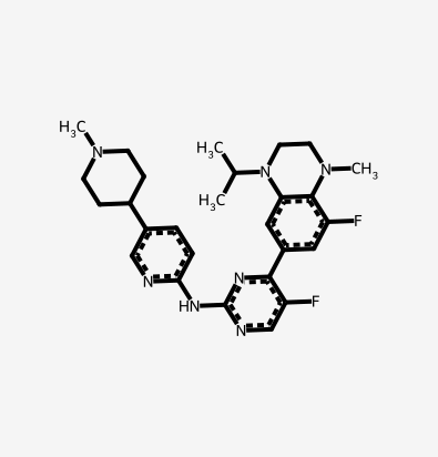 CC(C)N1CCN(C)c2c(F)cc(-c3nc(Nc4ccc(C5CCN(C)CC5)cn4)ncc3F)cc21